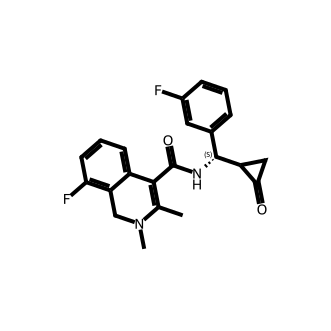 CC1=C(C(=O)N[C@H](c2cccc(F)c2)C2CC2=O)c2cccc(F)c2CN1C